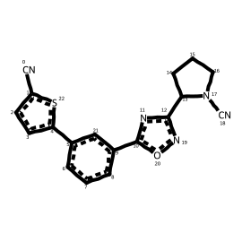 N#Cc1ccc(-c2cccc(-c3nc(C4CCCN4C#N)no3)c2)s1